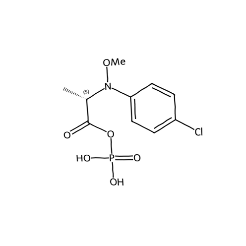 CON(c1ccc(Cl)cc1)[C@@H](C)C(=O)OP(=O)(O)O